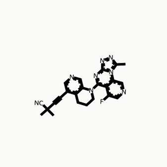 Cc1nnc2nc(N3CCCc4c(C#CC(C)(C)C#N)cncc43)c3c(F)cncc3n12